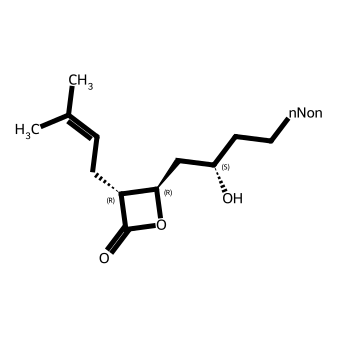 CCCCCCCCCCC[C@H](O)C[C@H]1OC(=O)[C@@H]1CC=C(C)C